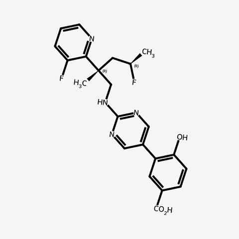 C[C@@H](F)C[C@](C)(CNc1ncc(-c2cc(C(=O)O)ccc2O)cn1)c1ncccc1F